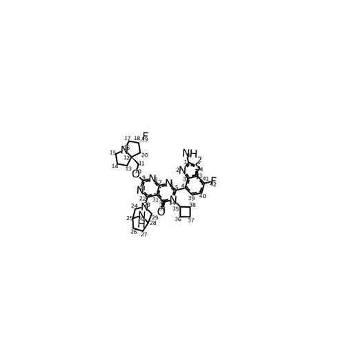 Nc1nc2c(-c3nc4nc(OC[C@@]56CCCN5C[C@H](F)C6)nc(N5CC6CCC(C5)N6)c4c(=O)n3C3CCC3)ccc(F)c2s1